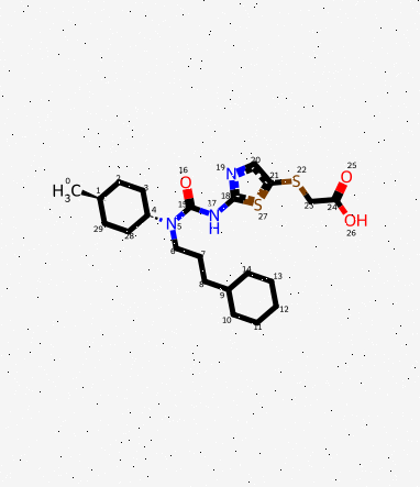 C[C@H]1CC[C@H](N(CCCC2CCCCC2)C(=O)Nc2ncc(SCC(=O)O)s2)CC1